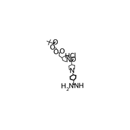 CC(C)(C)C(=O)OCOC(=O)CC1CCN(C(=O)C2CCN(c3ccc(C(=N)N)cc3)CC2)CC1.Cl